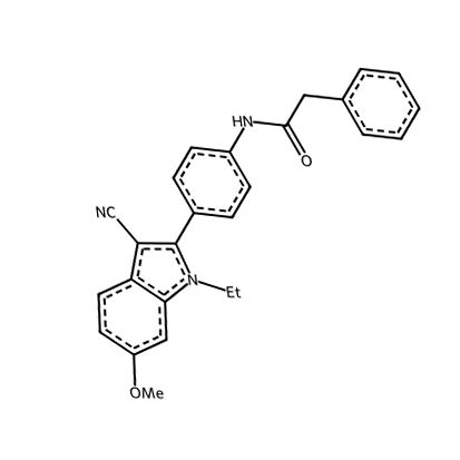 CCn1c(-c2ccc(NC(=O)Cc3ccccc3)cc2)c(C#N)c2ccc(OC)cc21